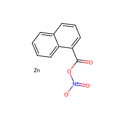 O=C(O[N+](=O)[O-])c1cccc2ccccc12.[Zn]